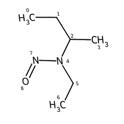 CCC(C)N(CC)N=O